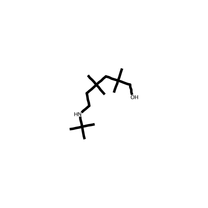 CC(C)(CO)CC(C)(C)CCNC(C)(C)C